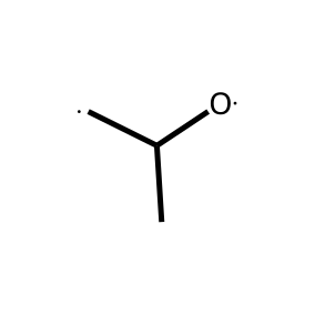 [CH2]C(C)[O]